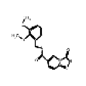 COc1cccc(CNC(=O)c2ccc3n[nH]c(=O)n3c2)c1OC